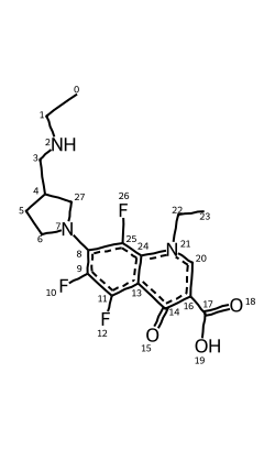 CCNCC1CCN(c2c(F)c(F)c3c(=O)c(C(=O)O)cn(CC)c3c2F)C1